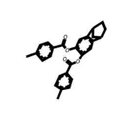 Cc1ccc(C(=O)Oc2cc3c(cc2OC(=O)c2ccc(C)cc2)C2CCC3C2)cc1